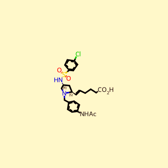 CC(=O)Nc1ccc(CN2C[C@H](NS(=O)(=O)c3ccc(Cl)cc3)C[C@H]2C=CCCCC(=O)O)cc1